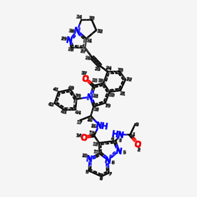 CC(=O)Nc1nn2cccnc2c1C(=O)NC(C)c1cc2cccc(C#Cc3cnn4c3CCC4)c2c(=O)n1-c1ccccc1